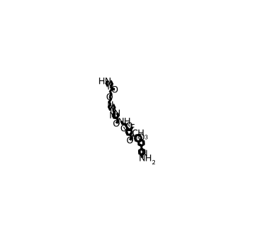 Cc1c(C(=O)N2CCOc3ccc(-c4ccc(N)nc4)cc3C2)ccc(S(=O)(=O)CCNC(=O)c2cnc(N3CCN(CCOCCC(=O)N4CCNCC4)CC3)nc2)c1F